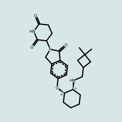 CC1(C)CC(CN[C@H]2CCCC[C@H]2Oc2ccc3c(c2)CN(C2CCC(=O)NC2=O)C3=O)C1